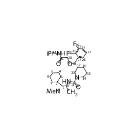 CN[C@H](C1CCCCC1)C(C)NC(=O)N1CCC[C@@H](C(OCC(=O)NC(C)C)c2cccc(F)c2F)C1